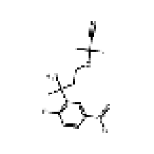 CC(C)(C#N)OCCC(C)(N)c1cc([N+](=O)[O-])ccc1F